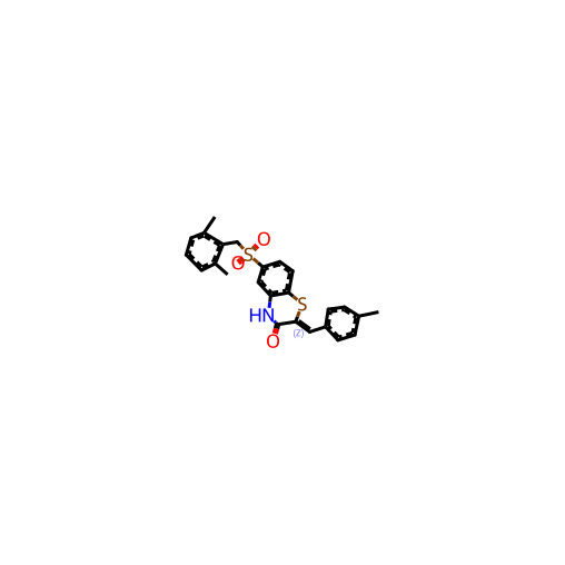 Cc1ccc(/C=C2\Sc3ccc(S(=O)(=O)Cc4c(C)cccc4C)cc3NC2=O)cc1